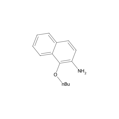 CCCCOc1c(N)ccc2ccccc12